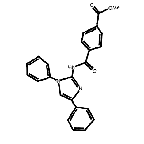 COC(=O)c1ccc(C(=O)Nc2nc(-c3ccccc3)cn2-c2ccccc2)cc1